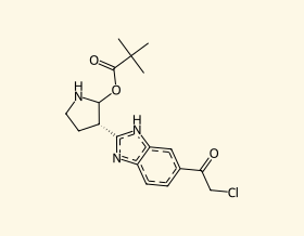 CC(C)(C)C(=O)OC1NCC[C@H]1c1nc2ccc(C(=O)CCl)cc2[nH]1